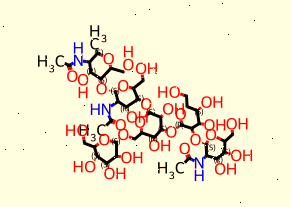 CC(=O)NC1[C@H](OC2C(O)[C@H](O)C(CO)O[C@@H]2O[C@@H]2C(O)[C@H](O[C@@H]3C(CO)O[C@@H](O[C@@H]4C(CO)O[C@@H](C)C(NC(C)=O)[C@H]4O)C(NC(C)=O)[C@H]3O)OC(CO[C@H]3OC(CO)[C@@H](O)[C@H](O)C3O)[C@H]2O)OC(CO)[C@@H](O)[C@@H]1O